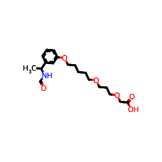 CC(NC=O)c1cccc(OCCCCCOCCCOCC(=O)O)c1